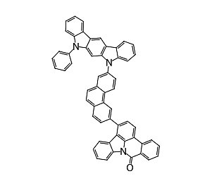 O=c1c2ccccc2c2ccc(-c3ccc4ccc5cc(-n6c7ccccc7c7cc8c9ccccc9n(-c9ccccc9)c8cc76)ccc5c4c3)c3c4ccccc4n1c23